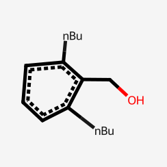 CCCCc1cccc(CCCC)c1CO